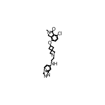 CN1Cc2c(OC3CC4(C3)CN(CCNc3ccn5cnnc5c3)C4)ccc(Cl)c2C1=O